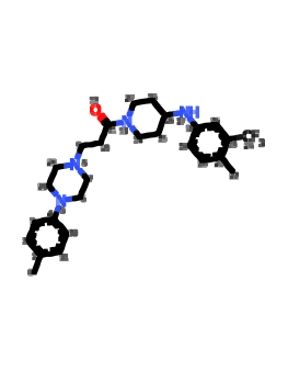 Cc1ccc(N2CCN(CCC(=O)N3CCC(Nc4ccc(C)c(C(F)(F)F)c4)CC3)CC2)cc1